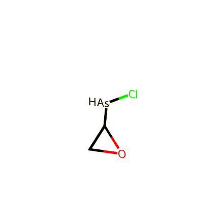 Cl[AsH]C1CO1